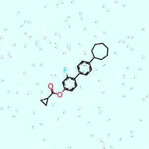 O=C(Oc1ccc(-c2ccc(C3CCCCCC3)cc2)c(F)c1)C1CC1